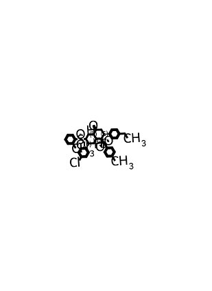 CCc1ccc([C@@H]2CC(=O)[C@@H]3CC(S(=O)(=O)c4ccccc4C)[C@H](c4ccc(Cl)cc4)C[C@@H]3C2S(=O)(=O)c2ccc(C)cc2)cc1